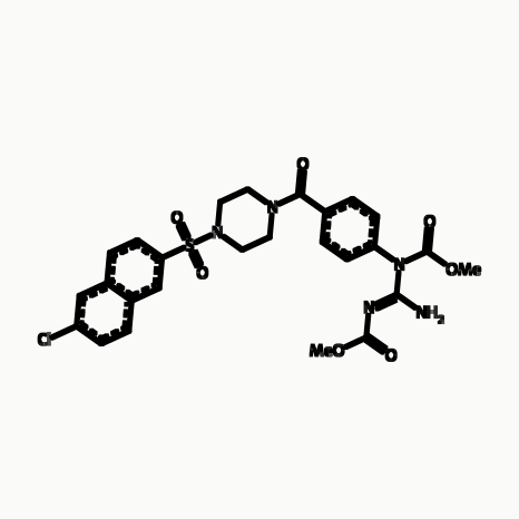 COC(=O)N=C(N)N(C(=O)OC)c1ccc(C(=O)N2CCN(S(=O)(=O)c3ccc4cc(Cl)ccc4c3)CC2)cc1